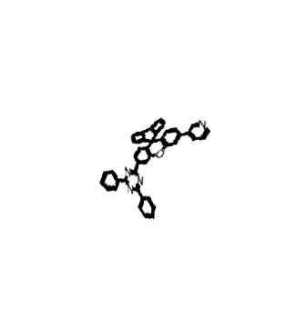 c1ccc(-c2nc(-c3ccccc3)nc(-c3ccc4c(c3)Oc3cc(-c5cccnc5)ccc3C43c4ccccc4-c4ccccc43)n2)cc1